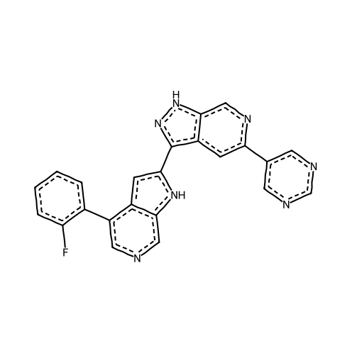 Fc1ccccc1-c1cncc2[nH]c(-c3n[nH]c4cnc(-c5cncnc5)cc34)cc12